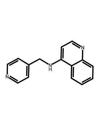 c1ccc2c(NCc3ccncc3)ccnc2c1